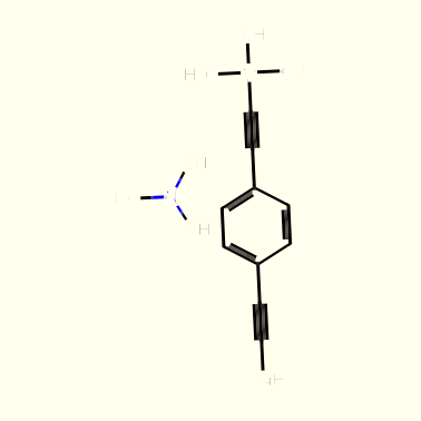 CN(C)C.C[Si](C)(C)C#Cc1ccc(C#C[SiH3])cc1